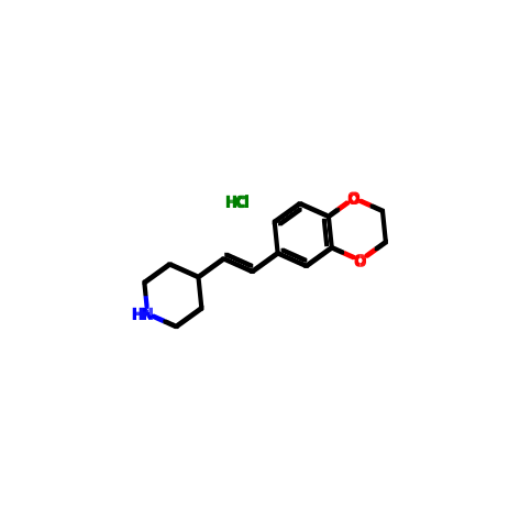 C(=CC1CCNCC1)c1ccc2c(c1)OCCO2.Cl